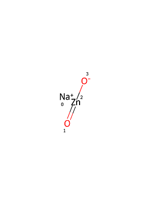 [Na+].[O]=[Zn][O-]